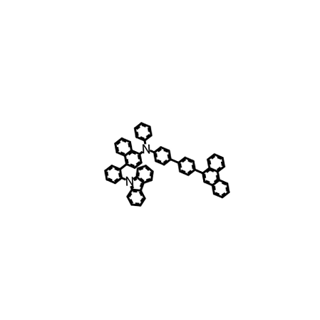 c1ccc(N(c2ccc(-c3ccc(-c4cc5ccccc5c5ccccc45)cc3)cc2)c2ccc(-c3ccccc3-n3c4ccccc4c4ccccc43)c3ccccc23)cc1